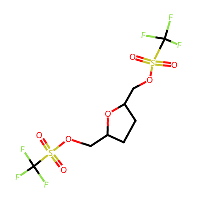 O=S(=O)(OCC1CCC(COS(=O)(=O)C(F)(F)F)O1)C(F)(F)F